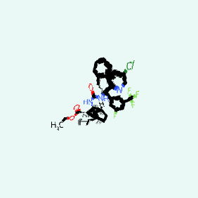 CCOC(=O)[C@H]1[C@H]2CC[C@H](C2)[C@H]1NC(=O)N[C@](Cc1ccccc1)(c1cc(F)cc(C(F)(F)F)c1)c1ccc(Cl)cn1